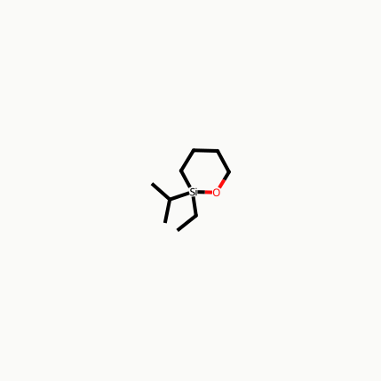 CC[Si]1(C(C)C)CCCCO1